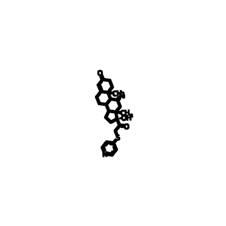 CC12CCC(=O)C=C1CCC1C2C(=O)CC2(C)C1CC[C@]2(O)C(=O)CSc1ccncc1